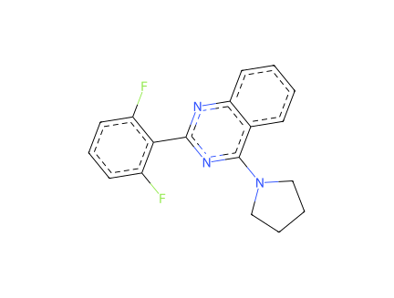 Fc1cccc(F)c1-c1nc(N2CCCC2)c2ccccc2n1